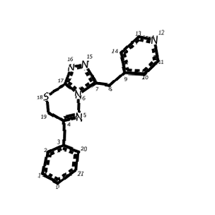 c1ccc(C2=Nn3c(Cc4ccncc4)nnc3SC2)cc1